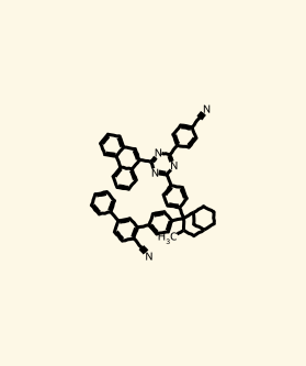 CC1CC2CCCC(C2)C1(c1ccc(-c2nc(-c3ccc(C#N)cc3)nc(-c3cc4ccccc4c4ccccc34)n2)cc1)c1ccc(-c2cc(-c3ccccc3)ccc2C#N)cc1